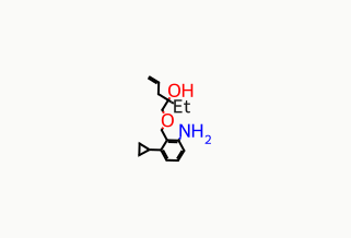 C=CCC(O)(CC)COCc1c(N)cccc1C1CC1